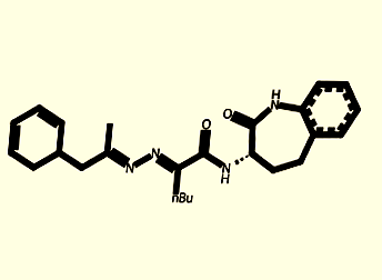 CCCC/C(=N\N=C(/C)CC1C=CC=CC1)C(=O)N[C@H]1CCc2ccccc2NC1=O